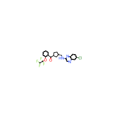 O=C(c1ccccc1OC(F)(F)C(F)F)C1CC[C@@H](CNc2cnc3cc(Cl)ccc3n2)C1